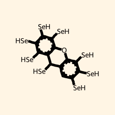 [SeH]c1cc2c(c([SeH])c1[SeH])Oc1c([SeH])c([SeH])c([SeH])c([SeH])c1C2[SeH]